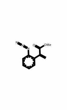 C=C(C(=O)OC)c1ccccc1N=[N+]=[N-]